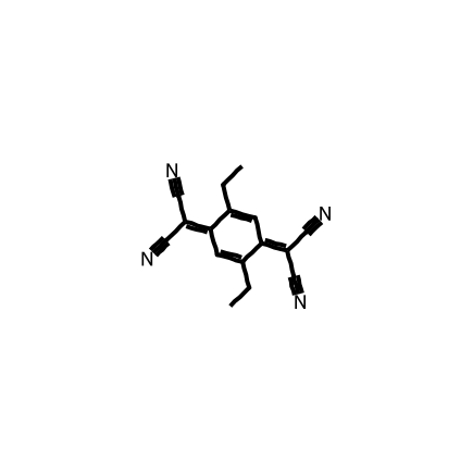 CCc1cc(=C(C#N)C#N)c(CC)cc1=C(C#N)C#N